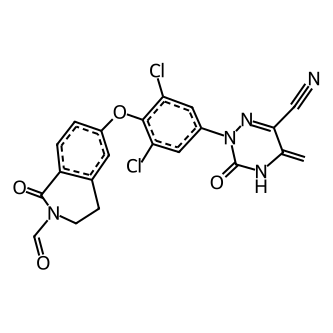 C=C1NC(=O)N(c2cc(Cl)c(Oc3ccc4c(c3)CCN(C=O)C4=O)c(Cl)c2)N=C1C#N